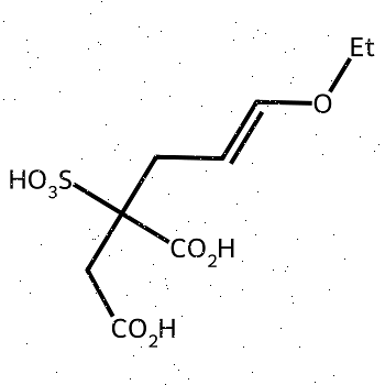 CCOC=CCC(CC(=O)O)(C(=O)O)S(=O)(=O)O